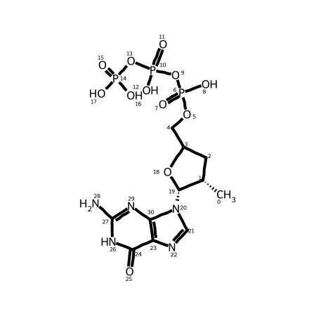 C[C@H]1CC(COP(=O)(O)OP(=O)(O)OP(=O)(O)O)O[C@H]1n1cnc2c(=O)[nH]c(N)nc21